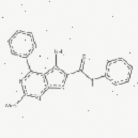 CSc1nc(-c2ccccc2)c2c(N)c(C(=O)Nc3ccccc3)sc2n1